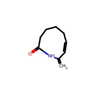 C=C1/C=C\CCCCC(=O)N1